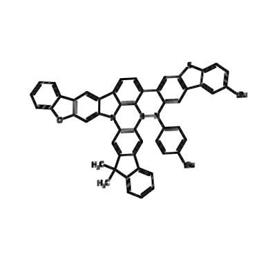 CC(C)(C)c1ccc(N2B3c4cc5c(cc4-n4c6cc7oc8ccccc8c7cc6c6ccc(c3c64)-c3cc4sc6ccc(C(C)(C)C)cc6c4cc32)C(C)(C)c2ccccc2-5)cc1